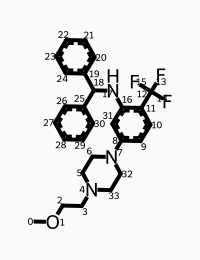 COCCN1CCN(c2ccc(C(F)(F)F)c(NC(c3ccccc3)c3ccccc3)c2)CC1